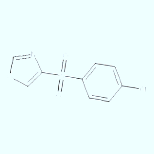 O=S(=O)(c1ccc(Cl)cc1)c1co[c]n1